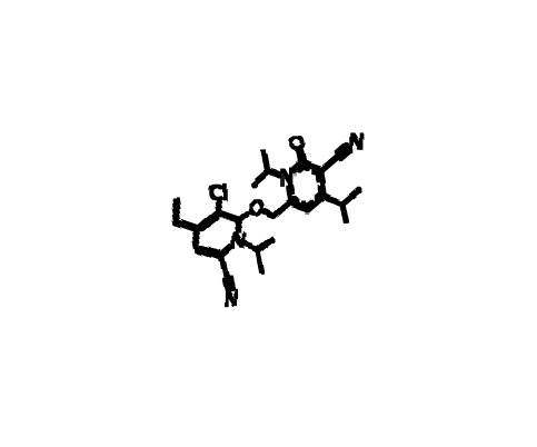 CCC1=C(Cl)C(OCc2cc(C(C)C)c(C#N)c(=O)n2C(C)C)N(C(C)C)C(C#N)=C1